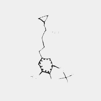 Cc1cc(CCC[C@@H](N)C2CC2)cc(OC(F)(F)F)c1F